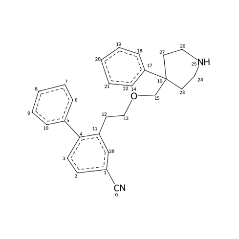 N#Cc1ccc(-c2ccccc2)c(CCOCC2(c3ccccc3)CCNCC2)c1